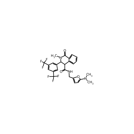 CN(C)c1ccc(CNC(=O)C2c3ccccc3C(=O)N(C)C2c2cc(C(F)(F)F)cc(C(F)(F)F)c2)o1